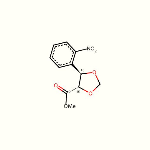 COC(=O)[C@H]1OCO[C@@H]1c1ccccc1[N+](=O)[O-]